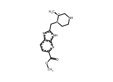 COC(=O)c1ccc2nc(CN3CCNC[C@@H]3C)[nH]c2n1